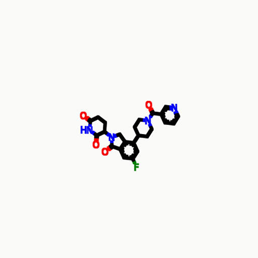 O=C1CCC(N2Cc3c(cc(F)cc3C3CCN(C(=O)c4cccnc4)CC3)C2=O)C(=O)N1